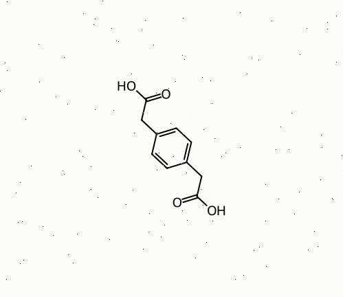 O=C(O)Cc1ccc(CC(=O)O)cc1